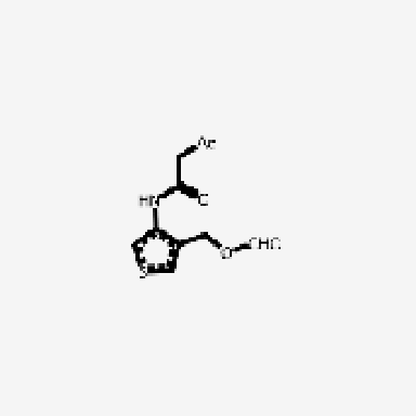 CC(=O)CC(=O)Nc1cscc1COC=O